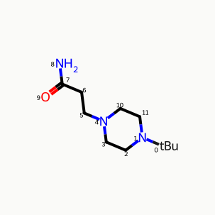 CC(C)(C)N1CCN(CCC(N)=O)CC1